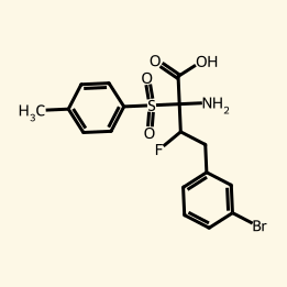 Cc1ccc(S(=O)(=O)C(N)(C(=O)O)C(F)Cc2cccc(Br)c2)cc1